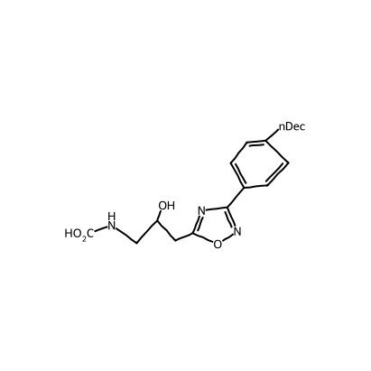 CCCCCCCCCCc1ccc(-c2noc(CC(O)CNC(=O)O)n2)cc1